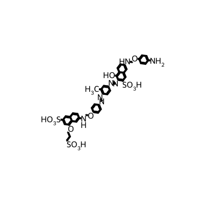 Cc1cc(N=Nc2c(S(=O)(=O)O)cc3cc(NCOc4ccc(N)cc4)ccc3c2O)ccc1N=Nc1ccc(OCNc2ccc3cc(S(=O)(=O)O)cc(OCCCS(=O)(=O)O)c3c2)cc1